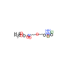 CC1(C)OCc2cc([C@@H]3CN(CCCCCCOCCCCc4cccc(NC(=O)Nc5c(Cl)cccc5Cl)c4)C(=O)O3)ccc2O1